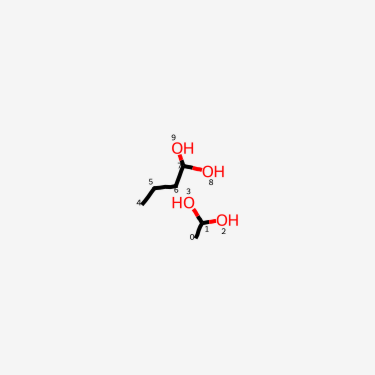 CC(O)O.CCCC(O)O